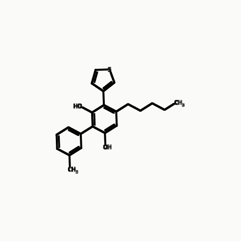 CCCCCc1cc(O)c(-c2cccc(C)c2)c(O)c1-c1ccsc1